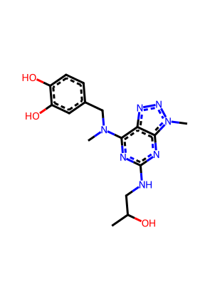 CC(O)CNc1nc(N(C)Cc2ccc(O)c(O)c2)c2nnn(C)c2n1